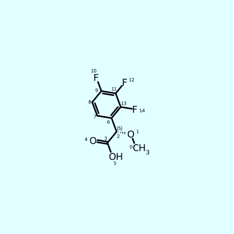 CO[C@H](C(=O)O)c1ccc(F)c(F)c1F